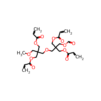 C=CC(=O)OCC(COC)(COCC(COC=O)(COC(=O)C=C)COC(=O)C=C)COC(=O)C=C